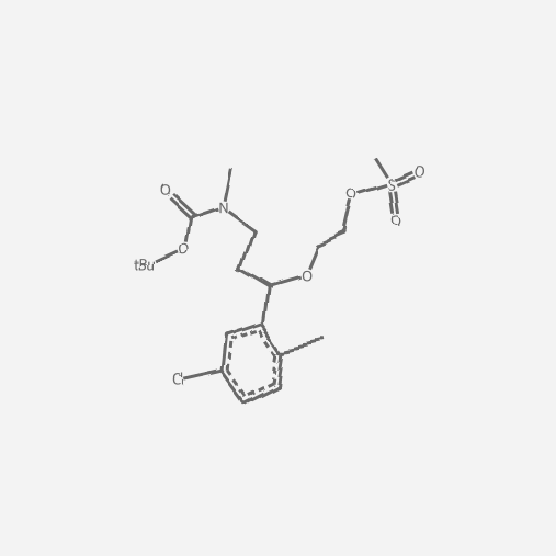 Cc1ccc(Cl)cc1C(CCN(C)C(=O)OC(C)(C)C)OCCOS(C)(=O)=O